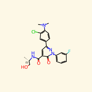 C[C@@H](CO)NC(=O)c1cc(-c2ccc(N(C)C)c(Cl)c2)nn(-c2cccc(F)c2)c1=O